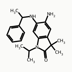 CC(Nc1cc2c(cc1N)C(C)(C)C(=O)N2C(C)C)c1ccccc1